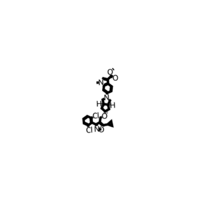 COC(=O)c1cn(C)c2cc(N3C[C@H]4C[C@H](OCc5c(-c6c(Cl)cccc6Cl)noc5C5CC5)C[C@H]4C3)ccc12